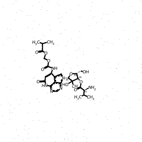 CC(C)C(=O)OCOC(=O)NC1=CC(=O)Nc2ncnc3c2c1cn3[C@@H]1O[C@H](CO)[C@@H](OC(=O)[C@@H](N)C(C)C)C1(C)O